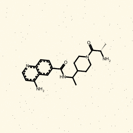 CC(NC(=O)c1ccc2nccc(N)c2c1)C1CCN(C(=O)[C@H](C)N)CC1